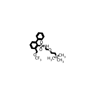 C[Si](C)(C)CCOCNS(=O)(=O)c1c(COC(F)(F)F)cccc1-c1ccccc1